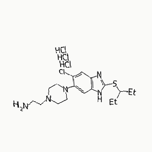 CCC(CC)Sc1nc2cc(Cl)c(N3CCN(CCN)CC3)cc2[nH]1.Cl.Cl.Cl